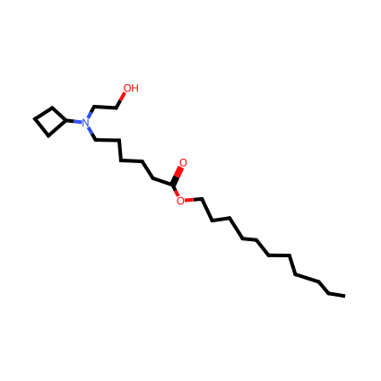 CCCCCCCCCCCOC(=O)CCCCCN(CCO)C1CCC1